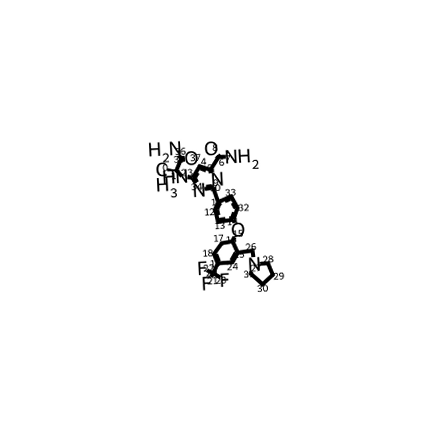 C[C@H](Nc1cc(C(N)=O)nc(-c2ccc(OC3CC=C(C(F)(F)F)C=C3CN3CCCC3)cc2)n1)C(N)=O